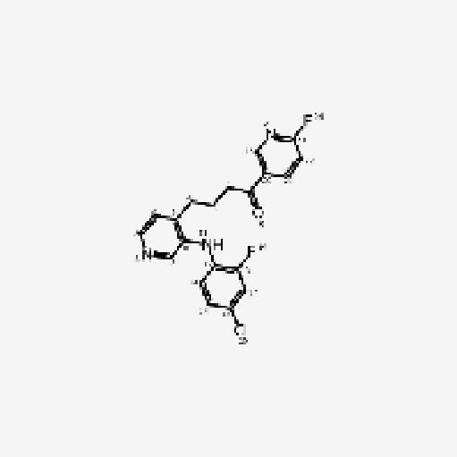 O=C(CCCc1ccncc1Nc1ccc(Cl)cc1F)c1ccc(F)nc1